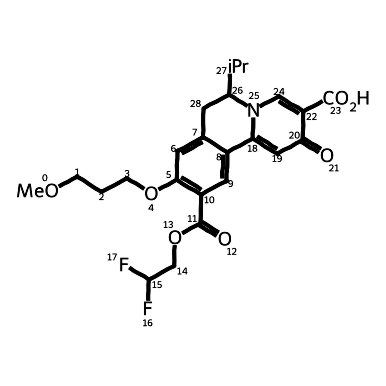 COCCCOc1cc2c(cc1C(=O)OCC(F)F)-c1cc(=O)c(C(=O)O)cn1C(C(C)C)C2